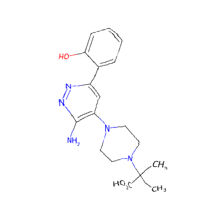 CC(C)(C(=O)O)N1CCN(c2cc(-c3ccccc3O)nnc2N)CC1